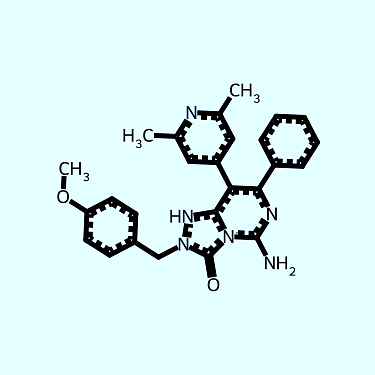 COc1ccc(Cn2[nH]c3c(-c4cc(C)nc(C)c4)c(-c4ccccc4)nc(N)[n+]3c2=O)cc1